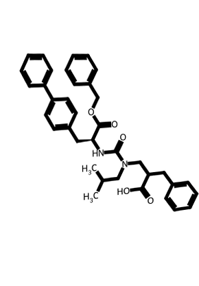 CC(C)CN(CC(Cc1ccccc1)C(=O)O)C(=O)N[C@@H](Cc1ccc(-c2ccccc2)cc1)C(=O)OCc1ccccc1